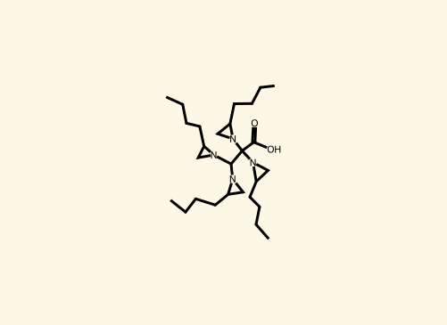 CCCCC1CN1C(N1CC1CCCC)C(C(=O)O)(N1CC1CCCC)N1CC1CCCC